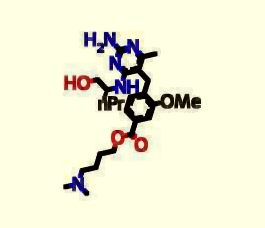 CCC[C@@H](CO)Nc1nc(N)nc(C)c1Cc1ccc(C(=O)OCCCCN(C)C)cc1OC